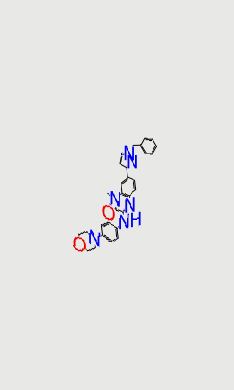 Cn1c(=O)c(Nc2ccc(N3CCOCC3)cc2)nc2ccc(-c3ccn(Cc4ccccc4)n3)cc21